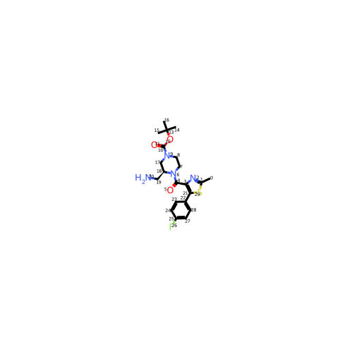 Cc1nc(C(=O)N2CCN(C(=O)OC(C)(C)C)C[C@@H]2CN)c(-c2ccc(F)cc2)s1